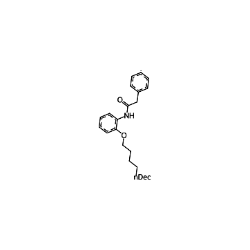 CCCCCCCCCCCCCCOc1ccccc1NC(=O)Cc1cc[c]cc1